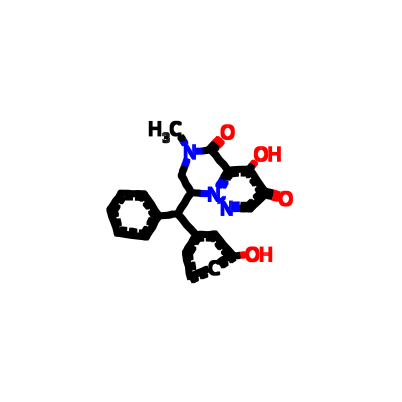 CN1CC(C(c2ccccc2)c2cccc(O)c2)n2ncc(=O)c(O)c2C1=O